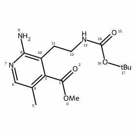 COC(=O)c1c(C)cnc(N)c1CCNC(=O)OC(C)(C)C